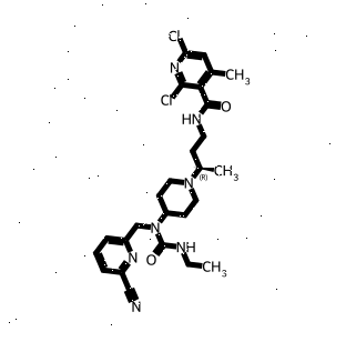 CCNC(=O)N(Cc1cccc(C#N)n1)C1CCN([C@H](C)CCNC(=O)c2c(C)cc(Cl)nc2Cl)CC1